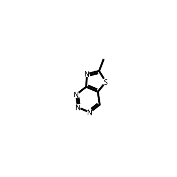 Cc1nc2nnncc2s1